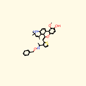 COc1c(O)ccc2c1-c1ccc3c(c1/C(=C/c1sccc1/C(C)=N/OCc1ccccc1)O2)C(C)=CC(C)(C)N3